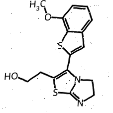 COc1cccc2cc(C3=C(CCO)SC4=NCCN43)sc12